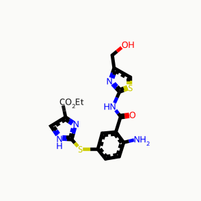 CCOC(=O)c1c[nH]c(Sc2ccc(N)c(C(=O)Nc3nc(CO)cs3)c2)n1